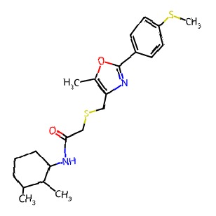 CSc1ccc(-c2nc(CSCC(=O)NC3CCCC(C)C3C)c(C)o2)cc1